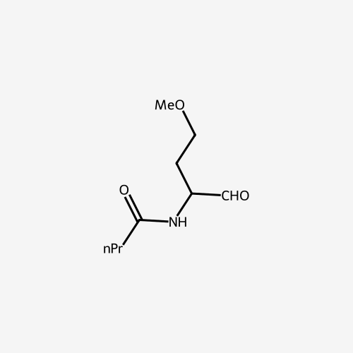 CCCC(=O)NC(C=O)CCOC